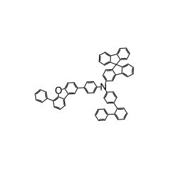 c1ccc(-c2ccccc2-c2ccc(N(c3ccc(-c4ccc5oc6c(-c7ccccc7)cccc6c5c4)cc3)c3ccc4c(c3)-c3ccccc3C43c4ccccc4-c4ccccc43)cc2)cc1